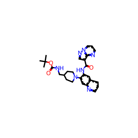 CC(C)(C)OC(=O)NCC1CCN(c2cc3ncccc3cc2NC(=O)c2cnn3cccnc23)CC1